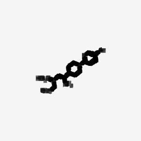 CC(=O)c1ccc(N2CCC(C(N)CN(CC=O)C(=O)O)CC2)nc1